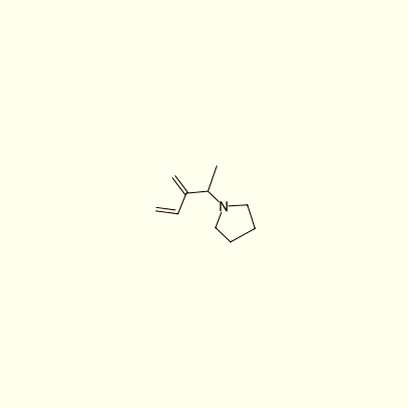 C=CC(=C)C(C)N1CCCC1